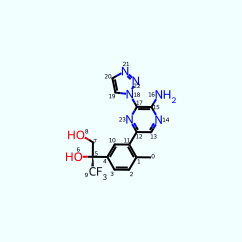 Cc1ccc([C@](O)(CO)C(F)(F)F)cc1-c1cnc(N)c(-n2ccnn2)n1